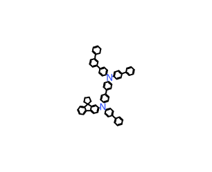 C1=CCCC(c2cccc(-c3ccc(N(c4ccc(-c5ccccc5)cc4)c4ccc(-c5ccc(N(c6ccc(-c7ccccc7)cc6)c6ccc7c(c6)C6(CCCC6)c6ccccc6-7)cc5)cc4)cc3)c2)=C1